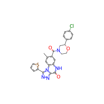 Cc1cc2c(cc1C(=O)N1CCOC(c3ccc(Cl)cc3)C1)[nH]c(=O)c1nnc(-c3cccs3)n12